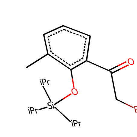 Cc1cccc(C(=O)CBr)c1O[Si](C(C)C)(C(C)C)C(C)C